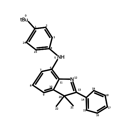 CC(C)(C)c1ccc(Nc2cccc3c2N=C(c2ccccc2)C3(C)C)cc1